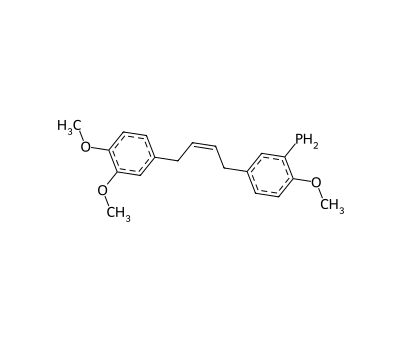 COc1ccc(C/C=C\Cc2ccc(OC)c(OC)c2)cc1P